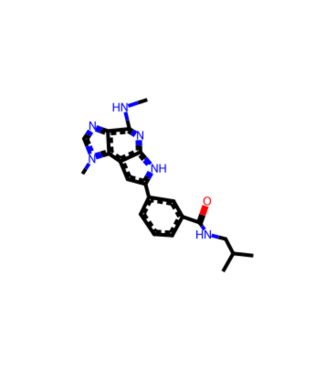 CNc1nc2[nH]c(-c3cccc(C(=O)NCC(C)C)c3)cc2c2c1ncn2C